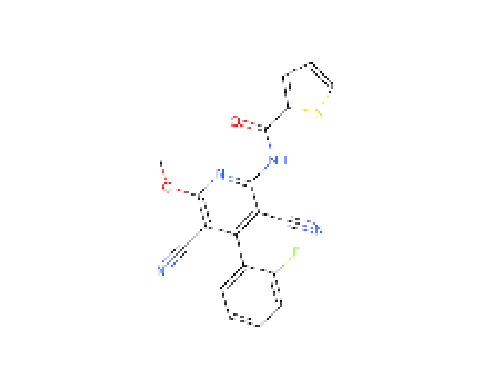 COc1nc(NC(=O)c2cccs2)c(C#N)c(-c2ccccc2F)c1C#N